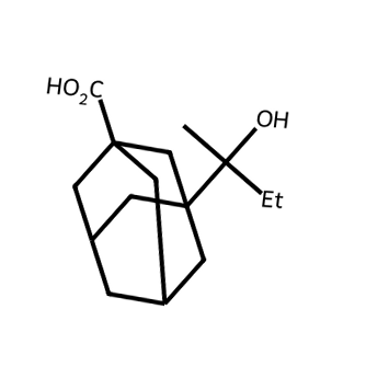 CCC(C)(O)C12CC3CC(CC(C(=O)O)(C3)C1)C2